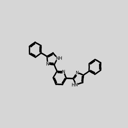 c1ccc(-c2c[nH]c(-c3cccc(-c4nc(-c5ccccc5)c[nH]4)n3)n2)cc1